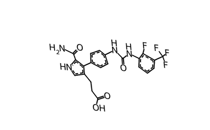 NC(=O)c1[nH]cc(CCC(=O)O)c1-c1ccc(NC(=O)Nc2cccc(C(F)(F)F)c2F)cc1